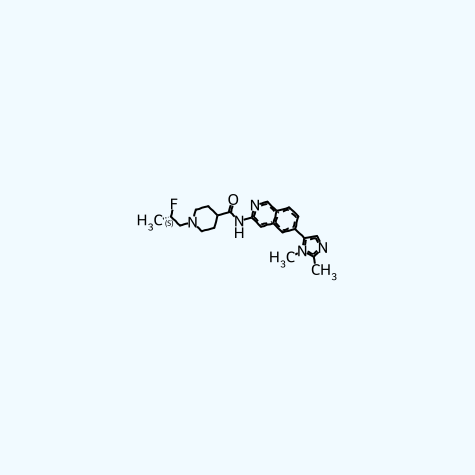 Cc1ncc(-c2ccc3cnc(NC(=O)C4CCN(C[C@H](C)F)CC4)cc3c2)n1C